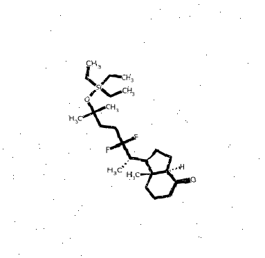 CC[Si](CC)(CC)OC(C)(C)CCC(F)(F)[C@@H](C)[C@H]1CC[C@H]2C(=O)CCC[C@]12C